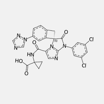 O=C(NC1(C(=O)O)CC1)c1cnc2n1[C@]1(Cc3ccc(-n4cncn4)cc31)C(=O)N2c1cc(Cl)cc(Cl)c1